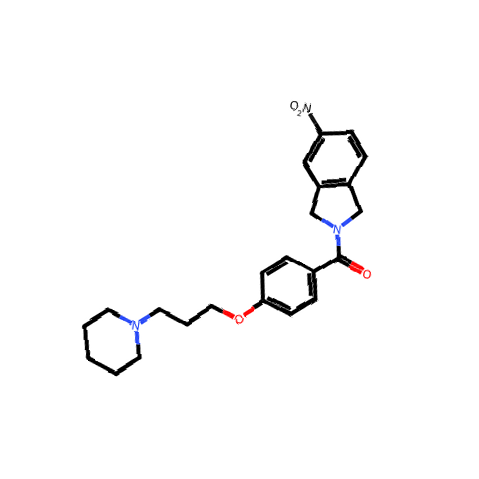 O=C(c1ccc(OCCCN2CCCCC2)cc1)N1Cc2ccc([N+](=O)[O-])cc2C1